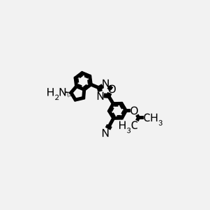 CC(C)Oc1cc(C#N)cc(-c2nc(-c3cccc4c3CC[C@@H]4N)no2)c1